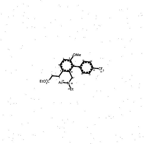 CCOC(=O)CCc1ccc(OC)c(-c2ccc(C(F)(F)F)cc2)c1CN(CC)C(C)=O